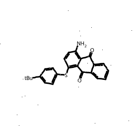 CC(C)(C)c1ccc(Sc2ccc(N)c3c2C(=O)c2ccccc2C3=O)cc1